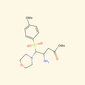 COC(=O)CC(N)C(N1CCOCC1)S(=O)(=O)c1ccc(OC)cc1